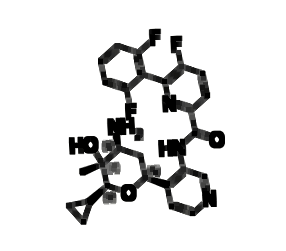 C[C@@]1(O)[C@@H](N)C[C@@H](c2ccncc2NC(=O)c2ccc(F)c(-c3c(F)cccc3F)n2)O[C@H]1C1CC1